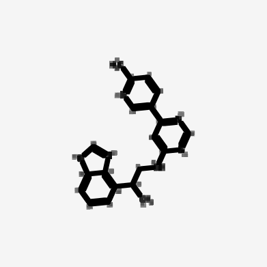 Cc1ccc(-c2cc(NCC(C)c3cccc4ocnc34)ncn2)cn1